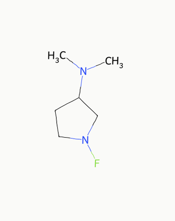 CN(C)C1CCN(F)C1